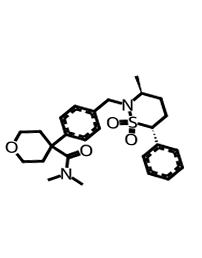 C[C@H]1CC[C@H](c2ccccc2)S(=O)(=O)N1Cc1ccc(C2(C(=O)N(C)C)CCOCC2)cc1